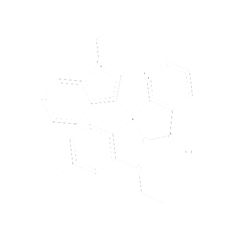 CCOc1cc(C)ccc1C1(c2c(C)n(CC)c3ccccc23)OC(=O)c2cccnc21